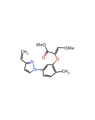 C=Cc1ccn(-c2ccc(C)c(O/C(=C\OC)C(=O)OC)c2)n1